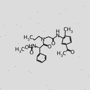 CCCN(CC(=O)Nc1cc(C(C)=O)ccc1C)C(=O)[C@H](NC(=O)OC)c1ccccc1